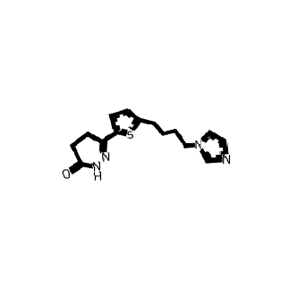 O=C1CCC(c2ccc(CCCCn3ccnc3)s2)=NN1